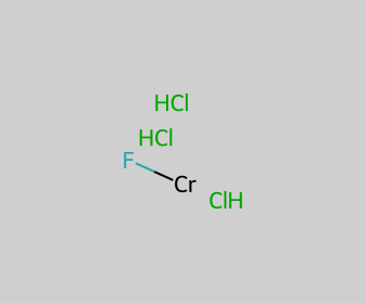 Cl.Cl.Cl.[F][Cr]